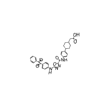 O=C(O)CC1CCC(c2ccc(NC(=O)c3nnc(Nc4ccc(S(=O)(=O)c5ccccc5)cc4)o3)cc2)CC1